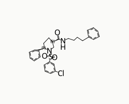 O=C(NCCCCc1ccccc1)[C@@H]1CC[C@H](c2ccccc2)N(S(=O)(=O)c2cccc(Cl)c2)C1